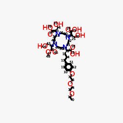 CCOCCOCCOc1ccc(CCC[C@@H](C(=O)O)N2CCN([C@H](CO)C(=O)O)CCN([C@H](CO)C(=O)O)CCN([C@@H](CO)C(=O)OC)CC2)cc1